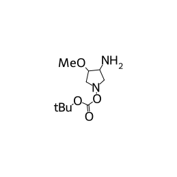 COC1CN(OC(=O)OC(C)(C)C)CC1N